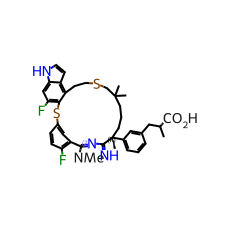 CN/C1=N\C(=N)[C@@](C)(c2cccc(CC(C)C(=O)O)c2)CCCC(C)(C)CSCCc2c(c(F)cc3[nH]ccc23)Sc2ccc(F)c1c2